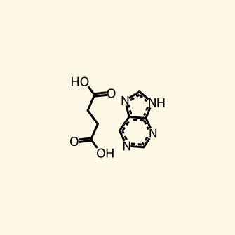 O=C(O)CCC(=O)O.c1ncc2nc[nH]c2n1